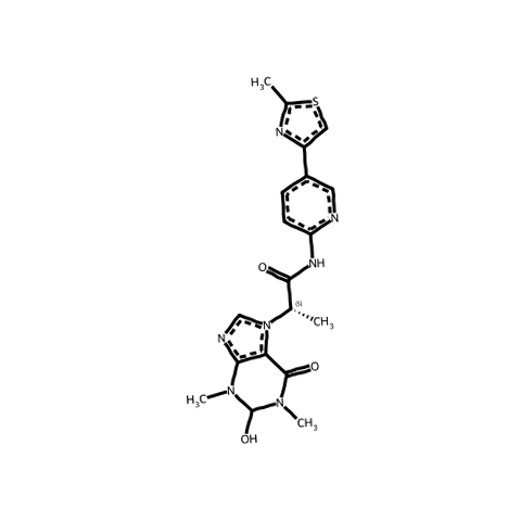 Cc1nc(-c2ccc(NC(=O)[C@H](C)n3cnc4c3C(=O)N(C)C(O)N4C)nc2)cs1